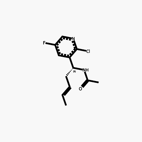 CC=CC[C@@H](NC(C)=O)c1cc(F)cnc1Cl